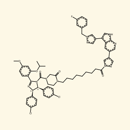 COc1ccc(C2=N[C@H](c3ccc(Cl)cc3)[C@H](c3ccc(Cl)cc3)N2C(=O)N2CCN(CCCCCCCCC(=O)n3cc(-c4cnc5[nH]cc(-c6cnn(Cc7cccc(F)c7)c6)c5c4)cn3)C(=O)C2)c(OC(C)C)c1